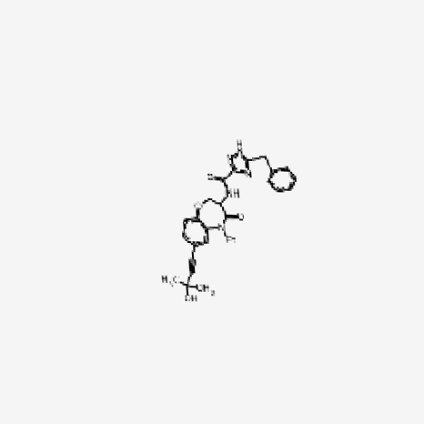 CCN1C(=O)C(NC(=O)c2n[nH]c(Cc3ccccc3)n2)COc2ccc(C#CC(C)(C)O)cc21